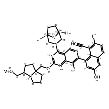 C#Cc1c(F)ccc2cc(O)cc(-c3ncc4c(N5C[C@H]6CC[C@@H](C5)N6)nc(OCC56CCCN5C(COC)CC6)nc4c3F)c12